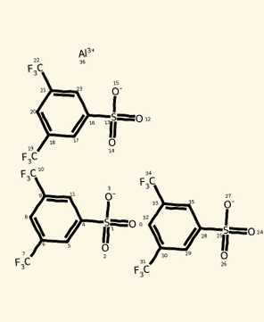 O=S(=O)([O-])c1cc(C(F)(F)F)cc(C(F)(F)F)c1.O=S(=O)([O-])c1cc(C(F)(F)F)cc(C(F)(F)F)c1.O=S(=O)([O-])c1cc(C(F)(F)F)cc(C(F)(F)F)c1.[Al+3]